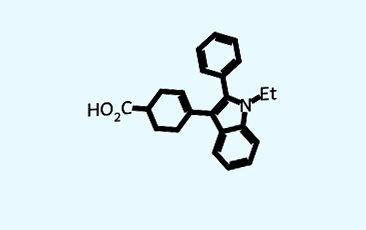 CCn1c(-c2ccccc2)c(C2=CCC(C(=O)O)CC2)c2ccccc21